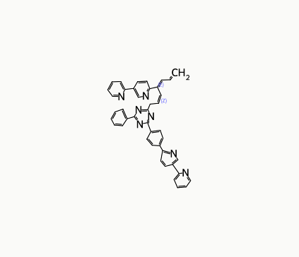 C=C/C=C(\C=C/Cc1nc(-c2ccccc2)nc(-c2ccc(-c3ccc(-c4ccccn4)cn3)cc2)n1)c1ccc(-c2ccccn2)cn1